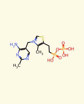 Cc1ncc(C[n+]2csc(CCP(=O)(O)OP(=O)(O)O)c2C)c(N)n1